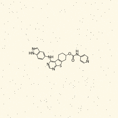 O=C(Nc1ccncc1)OC1CCc2c(sc3ncnc(Nc4ccc5[nH]ncc5c4)c23)C1